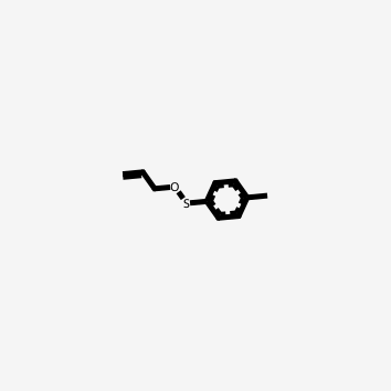 C=CCOSc1ccc(C)cc1